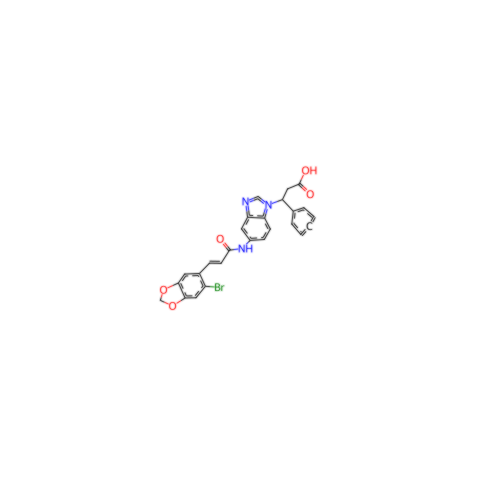 O=C(O)CC(c1ccccc1)n1cnc2cc(NC(=O)/C=C/c3cc4c(cc3Br)OCO4)ccc21